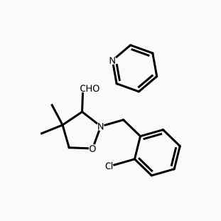 CC1(C)CON(Cc2ccccc2Cl)C1C=O.c1ccncc1